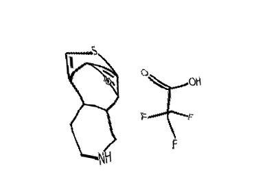 O=C(O)C(F)(F)F.c1sc2c3noc2c1C1CCNCC31